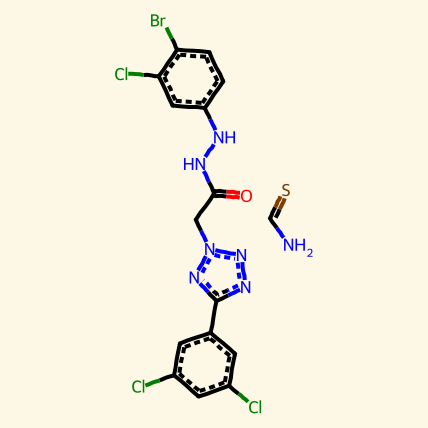 NC=S.O=C(Cn1nnc(-c2cc(Cl)cc(Cl)c2)n1)NNc1ccc(Br)c(Cl)c1